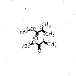 C=C(C)C(=O)OCCCC.C=CC(=O)OCCCC